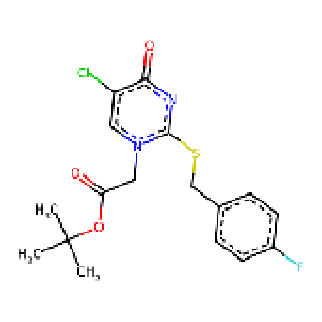 CC(C)(C)OC(=O)Cn1cc(Cl)c(=O)nc1SCc1ccc(F)cc1